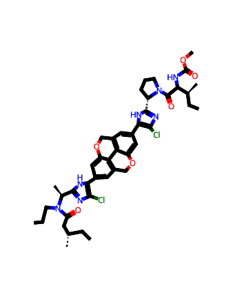 CCCN(C(=O)C[C@@H](C)CC)[C@@H](C)c1nc(Cl)c(-c2cc3c4c(c2)OCc2cc(-c5[nH]c([C@@H]6CCCN6C(=O)C(NC(=O)OC)[C@@H](C)CC)nc5Cl)cc(c2-4)OC3)[nH]1